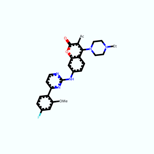 CCN1CCN(c2c(C(C)=O)c(=O)oc3cc(Nc4nccc(-c5ccc(F)cc5OC)n4)ccc23)CC1